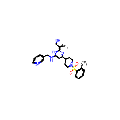 B/C(C=N)=C1\N=C(C2CCN(S(=O)(=O)c3ccccc3C(F)(F)F)CC2)C=C(NCc2cccnc2)N1